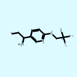 CCC(N)c1ccc(OCC(F)(F)F)nc1